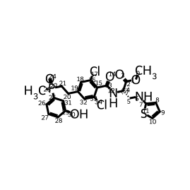 COC(=O)[C@H](CNc1cccs1)NC(=O)c1c(Cl)cc(CCP(C)(=O)c2cccc(O)c2)cc1Cl